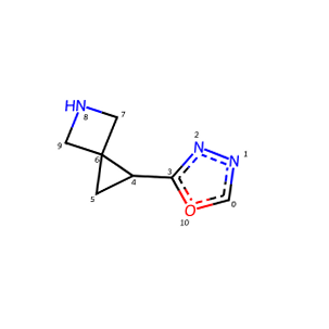 c1nnc(C2CC23CNC3)o1